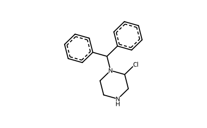 ClC1CNCCN1C(c1ccccc1)c1ccccc1